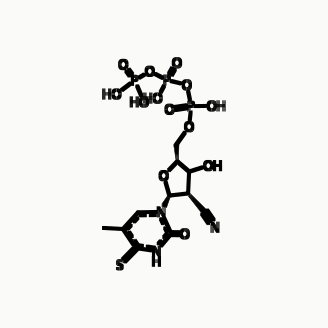 Cc1cn([C@H]2O[C@@H](COP(=O)(O)OP(=O)(O)OP(=O)(O)O)C(O)[C@H]2C#N)c(=O)[nH]c1=S